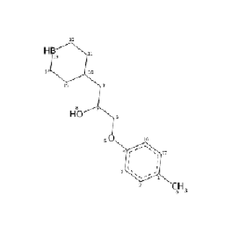 Cc1ccc(OCC(O)CC2CCBCC2)cc1